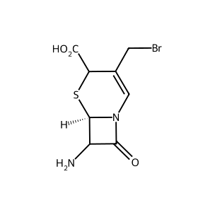 NC1C(=O)N2C=C(CBr)C(C(=O)O)S[C@H]12